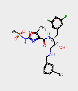 CCCS(=O)(=O)Nc1nc(C(=O)N[C@@H](Cc2cc(F)cc(F)c2)[C@H](O)CNCc2cccc(CC)c2)c(C)o1